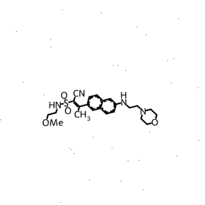 COCCNS(=O)(=O)/C(C#N)=C(\C)c1ccc2cc(NCCN3CCOCC3)ccc2c1